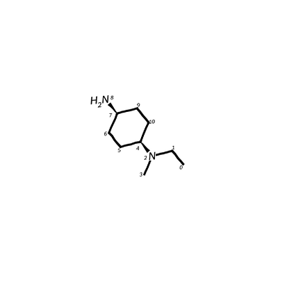 CCN(C)[C@H]1CC[C@@H](N)CC1